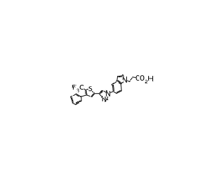 O=C(O)CCn1ccc2cc(-n3cnc(-c4cc(-c5ccccc5)c(C(F)(F)F)s4)c3)ccc21